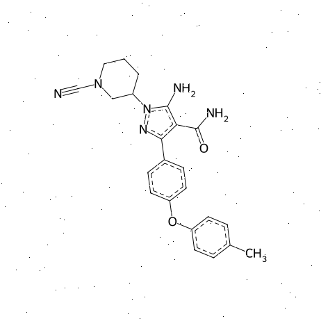 Cc1ccc(Oc2ccc(-c3nn(C4CCCN(C#N)C4)c(N)c3C(N)=O)cc2)cc1